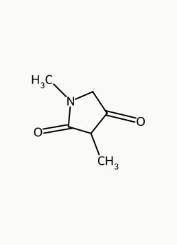 CC1C(=O)CN(C)C1=O